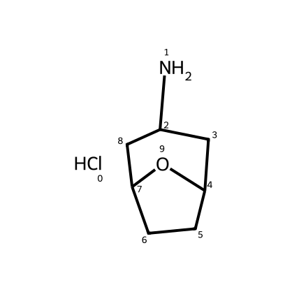 Cl.NC1CC2CCC(C1)O2